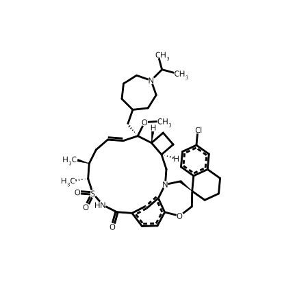 CO[C@]1(CC2CCCN(C(C)C)CC2)/C=C/C[C@H](C)[C@@H](C)S(=O)(=O)NC(=O)c2ccc3c(c2)N(C[C@@H]2CC[C@H]21)C[C@@]1(CCCc2cc(Cl)ccc21)CO3